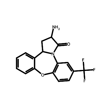 NC1CC2c3ccccc3Oc3ccc(C(F)(F)F)cc3N2C1=O